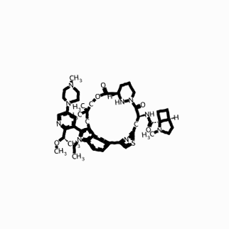 CCn1c(-c2cc(N3CCN(C)CC3)cnc2[C@H](C)OC)c2c3cc(ccc31)-c1csc(n1)C[C@H](NC(=O)[C@]13CC[C@H]1CCN3C)C(=O)N1CCC[C@H](N1)C(=O)OCC(C)(C)C2